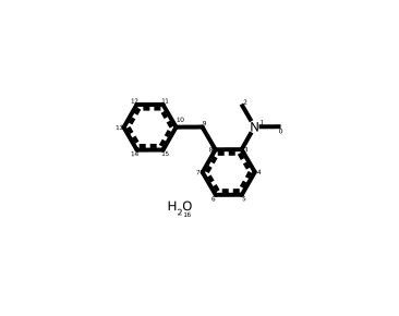 CN(C)c1ccccc1Cc1ccccc1.O